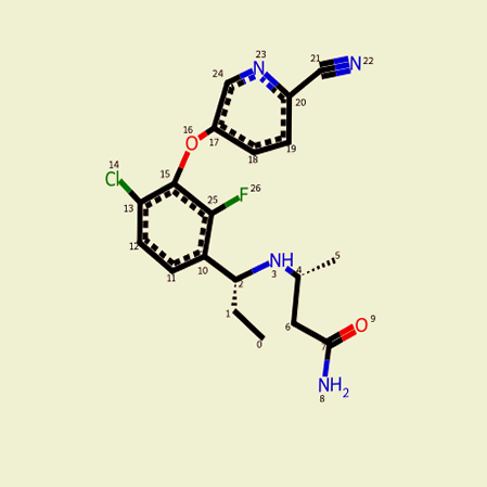 CC[C@@H](N[C@H](C)CC(N)=O)c1ccc(Cl)c(Oc2ccc(C#N)nc2)c1F